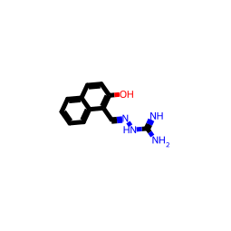 N=C(N)N/N=C/c1c(O)ccc2ccccc12